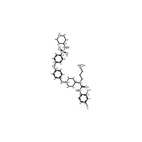 CCCCN(C(=O)Nc1ccc(F)cc1F)C1CCN(Cc2ccc(Oc3ccc(S(=O)(=O)NC4CCOCC4)cc3)cc2)CC1.Cl